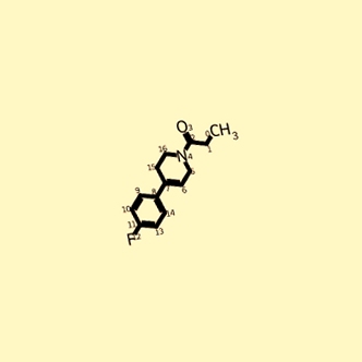 CCC(=O)N1CC=C(c2ccc(F)cc2)CC1